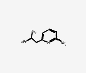 CCCC(N)Cc1cccc(N)n1